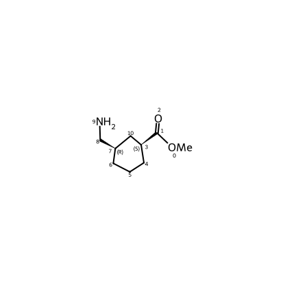 COC(=O)[C@H]1CCC[C@@H](CN)C1